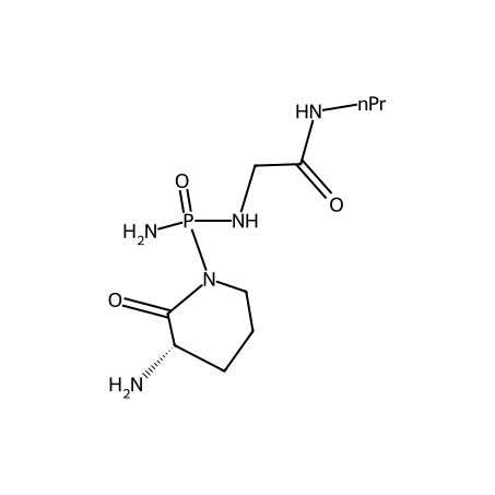 CCCNC(=O)CNP(N)(=O)N1CCC[C@H](N)C1=O